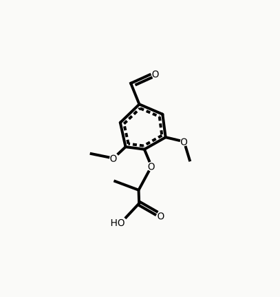 COc1cc(C=O)cc(OC)c1OC(C)C(=O)O